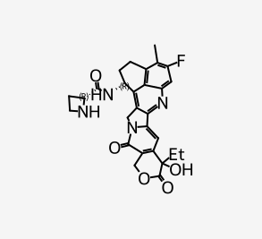 CCC1(O)C(=O)OCc2c1cc1n(c2=O)Cc2c-1nc1cc(F)c(C)c3c1c2[C@H](NC(=O)[C@H]1CCN1)CC3